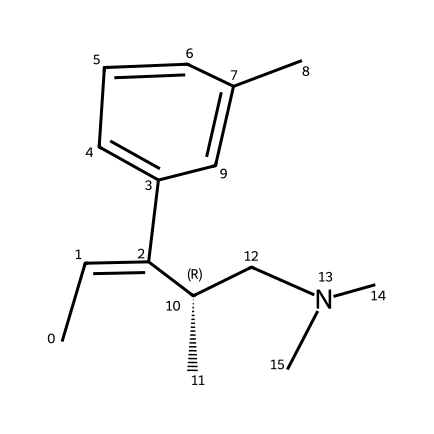 CC=C(c1cccc(C)c1)[C@@H](C)CN(C)C